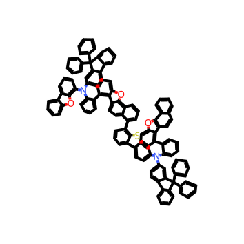 c1ccc(C2(c3ccccc3)c3ccccc3-c3ccc(N(c4ccc5c(c4)sc4c(-c6cccc7c6ccc6c7oc7cccc(-c8ccccc8N(c8ccc9c(c8)C(c8ccccc8)(c8ccccc8)c8ccccc8-9)c8cccc9c8oc8ccccc89)c76)cccc45)c4ccccc4-c4cccc5oc6c7ccccc7ccc6c45)cc32)cc1